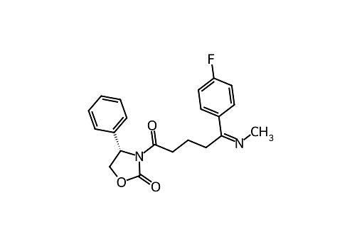 C/N=C(/CCCC(=O)N1C(=O)OC[C@@H]1c1ccccc1)c1ccc(F)cc1